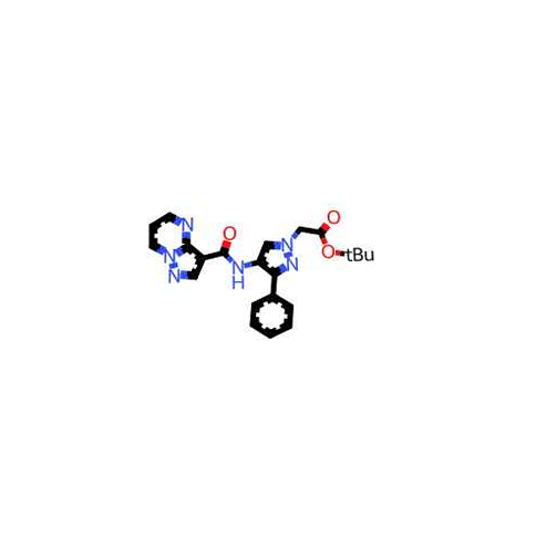 CC(C)(C)OC(=O)Cn1cc(NC(=O)c2cnn3cccnc23)c(-c2ccccc2)n1